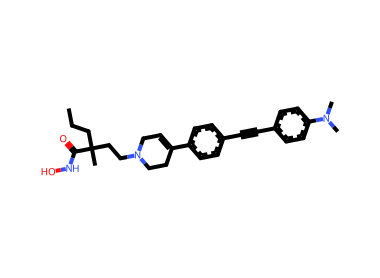 CCCC(C)(CCN1CC=C(c2ccc(C#Cc3ccc(N(C)C)cc3)cc2)CC1)C(=O)NO